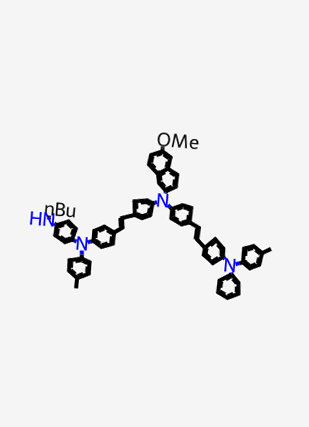 CCCCNc1ccc(N(c2ccc(C)cc2)c2ccc(/C=C/c3ccc(N(c4ccc(/C=C/c5ccc(N(c6ccccc6)c6ccc(C)cc6)cc5)cc4)c4ccc5cc(OC)ccc5c4)cc3)cc2)cc1